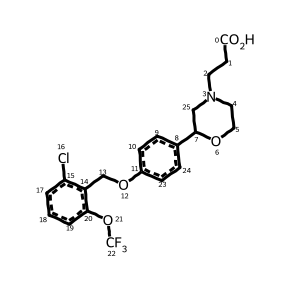 O=C(O)CCN1CCOC(c2ccc(OCc3c(Cl)cccc3OC(F)(F)F)cc2)C1